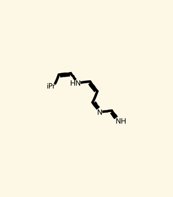 CC(C)/C=C\N/C=C\C=N/C=N